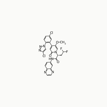 COc1cn([C@@H](CC(F)F)C(=O)Nc2ccc3nccnc3c2)c(=O)cc1-c1cc(Cl)ccc1-n1cc(Cl)nn1